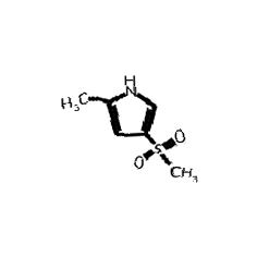 Cc1cc(S(C)(=O)=O)c[nH]1